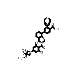 COC1(OC)CN(c2cc(Cl)c(C(=O)N3COc4c(cccc4-c4ccc(C(=O)O)c(N5C6CCC5COC6)c4)C3)c(Cl)c2)C1